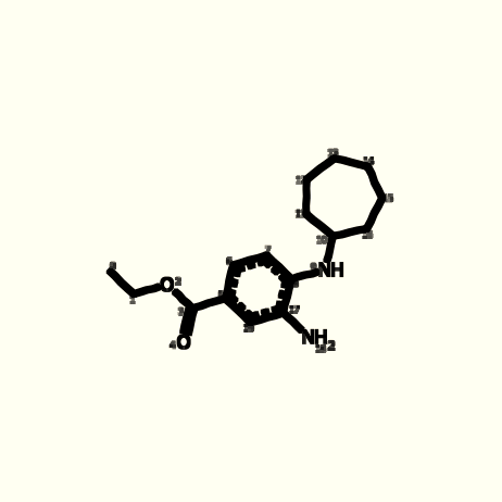 CCOC(=O)c1ccc(NC2CCCCCC2)c(N)c1